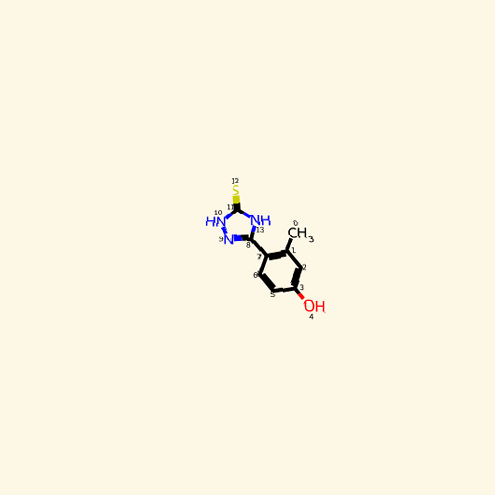 Cc1cc(O)ccc1-c1n[nH]c(=S)[nH]1